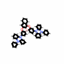 c1ccc(N2c3ccccc3N(c3ccc4c(c3)Oc3cc5c(c6c3B4c3ccc(N4c7ccccc7N(c7ccccc7)c7ccccc74)cc3O6)CCCC5)c3ccccc32)cc1